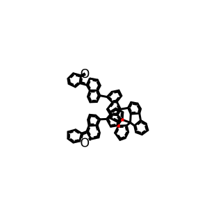 c1ccc(C2(c3ccccc3)c3ccccc3-c3cccc(-c4c5cccc(-c6cccc7c6ccc6oc8ccccc8c67)c5cc5c(-c6cccc7c6ccc6oc8ccccc8c67)cccc45)c32)cc1